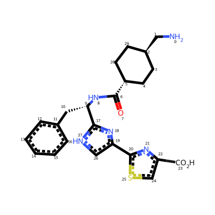 NC[C@H]1CC[C@H](C(=O)N[C@@H](Cc2ccccc2)c2nc(-c3nc(C(=O)O)cs3)c[nH]2)CC1